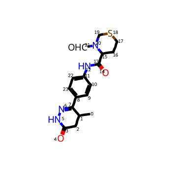 CC1CC(=O)NN=C1c1ccc(NC(=O)C2CCSCN2C=O)cc1